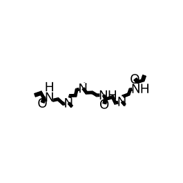 C=CC(=O)NCCCN(C)CCCN(C)CCCNC(=O)CCN(C)CCCNC(=O)C=C